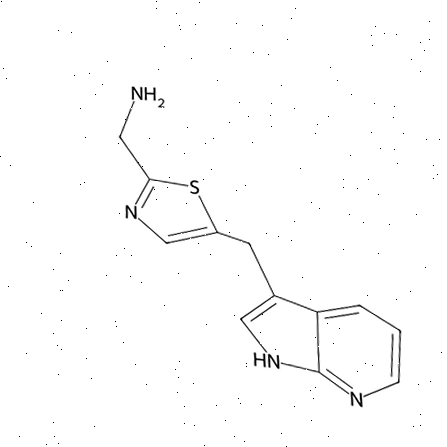 NCc1ncc(Cc2c[nH]c3ncccc23)s1